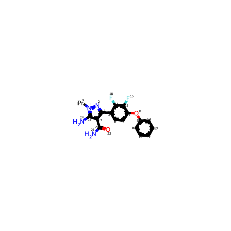 CC(C)n1nc(-c2ccc(Oc3ccccc3)c(F)c2F)c(C(N)=O)c1N